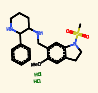 COc1cc2c(cc1CNC1CCCNC1c1ccccc1)N(S(C)(=O)=O)CC2.Cl.Cl